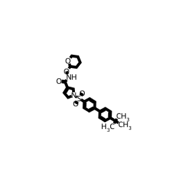 CC(C)(C)c1ccc(-c2ccc(S(=O)(=O)N3CC=C(C(=O)NOC4CCCCO4)C3)cc2)cc1